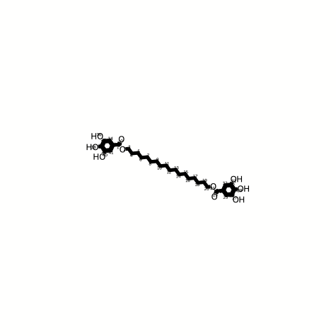 O=C(OCCCCCCCCCCCCCCCCCCOC(=O)c1cc(O)c(O)c(O)c1)c1cc(O)c(O)c(O)c1